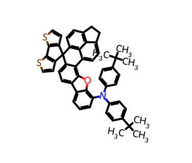 CC(C)(C)c1ccc(N(c2ccc(C(C)(C)C)cc2)c2cccc3c2oc2c4c(ccc23)C2(c3ccsc3-c3sccc32)c2ccc3c5c(ccc-4c25)CC3)cc1